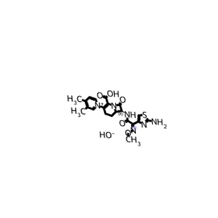 CO/N=C(\C(=O)N[C@H]1C(=O)N2C(C(=O)O)=C([n+]3ccc(C)c(C)c3)CCC12)c1csc(N)n1.[OH-]